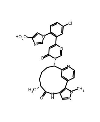 C[C@@H]1CCC[C@H](n2cnc(-c3cc(Cl)ccc3-n3cnc(C(=O)O)c3)cc2=O)c2cc(ccn2)-c2c(cnn2C)NC1=O